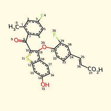 Cc1cc(F)ccc1C(=O)c1sc2cc(O)ccc2c1Oc1ccc(C=CC(=O)O)cc1F